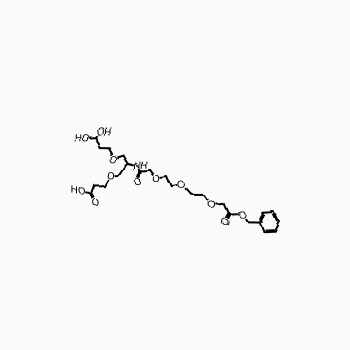 O=C(O)CCOCC(COCCC(O)O)NC(=O)COCCOCCOCC(=O)OCc1ccccc1